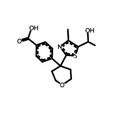 Cc1nc(C2(c3ccc(C(=O)O)cc3)CCOCC2)sc1C(C)O